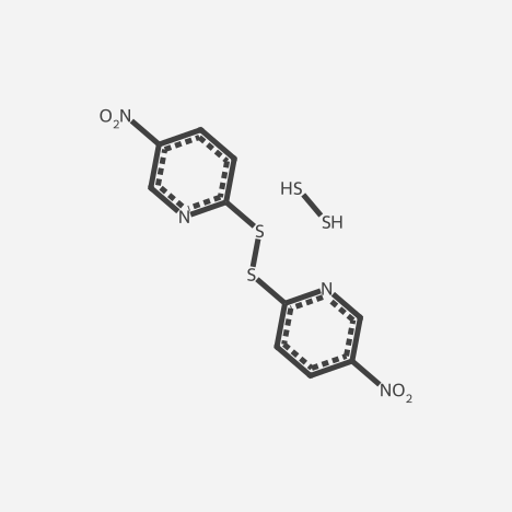 O=[N+]([O-])c1ccc(SSc2ccc([N+](=O)[O-])cn2)nc1.SS